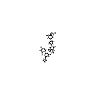 CCOC(=O)C1=C(CN2CCN3C(=O)N(c4ccc(-c5ccc(C(=O)O)c(F)c5)cc4)C[C@@H]3C2)NC(c2nccs2)=N[C@H]1c1ccc(F)cc1Cl